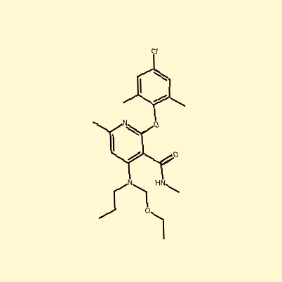 CCCN(COCC)c1cc(C)nc(Oc2c(C)cc(Cl)cc2C)c1C(=O)NC